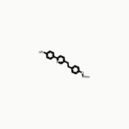 CCCCCCOc1ccc(CCc2ccc(-c3ccc(CCC)cc3)nc2)cc1